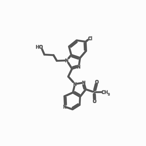 CS(=O)(=O)c1nn(Cc2nc3cc(Cl)ccc3n2CCCO)c2cnccc12